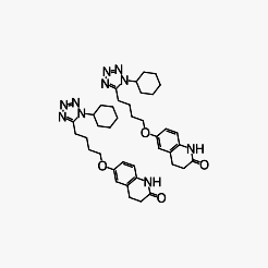 O=C1CCc2cc(OCCCCc3nnnn3C3CCCCC3)ccc2N1.O=C1CCc2cc(OCCCCc3nnnn3C3CCCCC3)ccc2N1